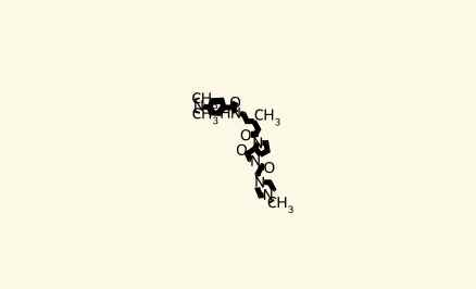 CC(CCNC(=O)c1ccc(N(C)C)cc1)CC(=O)N1CCC2C1C(=O)CN2C(=O)CN1CCN(C)CC1